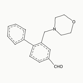 O=Cc1ccc(-c2ccccc2)c(CN2CCOCC2)c1